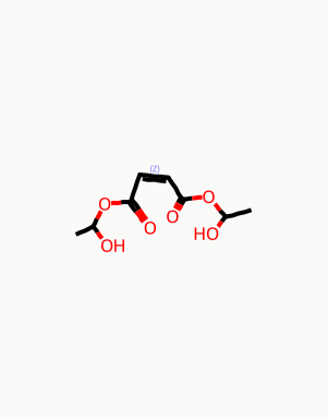 CC(O)OC(=O)/C=C\C(=O)OC(C)O